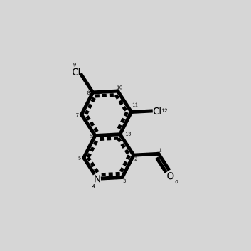 O=Cc1cncc2cc(Cl)cc(Cl)c12